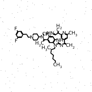 C=C(/N=c1\[nH]c2cc(F)c(C(=C)N(C)C3CCN(CCc4cc(F)cc(F)c4)CC3)cc2n1C[C@H](C)CCCCC)c1cc(C)nc(C(=C)C=N)c1